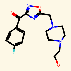 O=C(c1ccc(F)cc1)c1noc(CN2CCN(CCO)CC2)n1